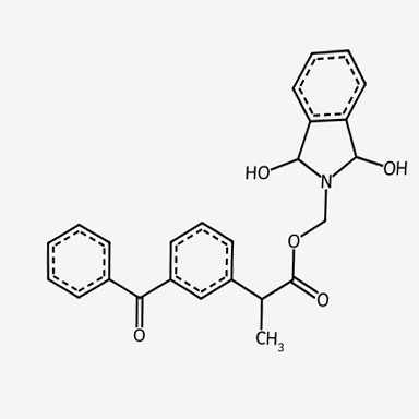 CC(C(=O)OCN1C(O)c2ccccc2C1O)c1cccc(C(=O)c2ccccc2)c1